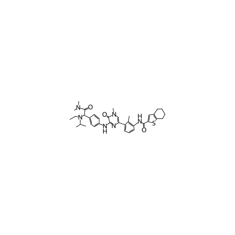 CCN(C(C)C)C(C(=O)N(C)C)c1ccc(Nc2nc(-c3cccc(NC(=O)c4cc5c(s4)CCCC5)c3C)cn(C)c2=O)cc1